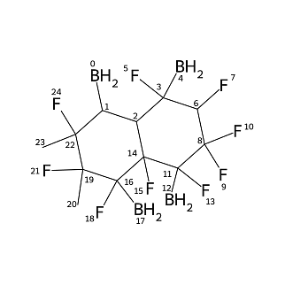 BC1C2C(B)(F)C(F)C(F)(F)C(B)(F)C2(F)C(B)(F)C(C)(F)C1(C)F